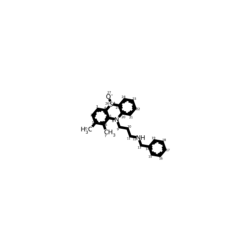 Cc1ccc2c(c1C)N(CCCNCc1ccccc1)c1ccccc1[S+]2[O-]